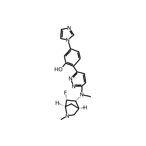 CN1C[C@H]2C[C@@H]1[C@H](F)[C@@H]2N(C)c1ccc(-c2ccc(-n3ccnc3)cc2O)nn1